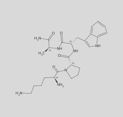 C[C@H](NC(=O)[C@H](Cc1c[nH]c2ccccc12)NC(=O)[C@@H]1CCCN1C(=O)[C@@H](N)CCCCN)C(N)=O